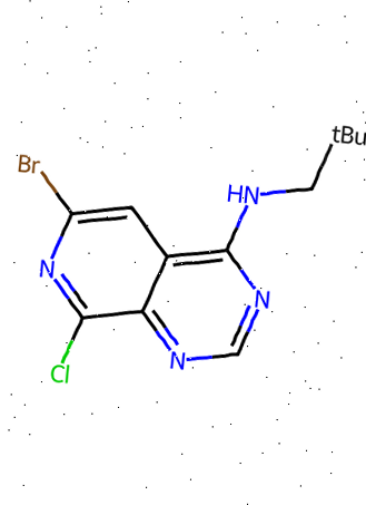 CC(C)(C)CNc1ncnc2c(Cl)nc(Br)cc12